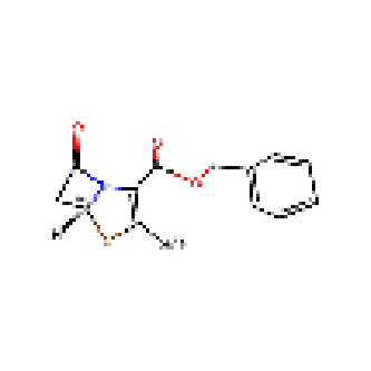 CSC1=C(C(=O)OCc2ccccc2)N2C(=O)C[C@H]2S1